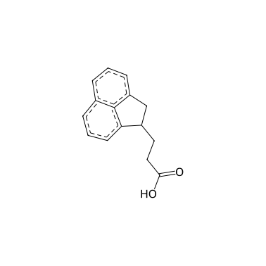 O=C(O)CCC1Cc2cccc3cccc1c23